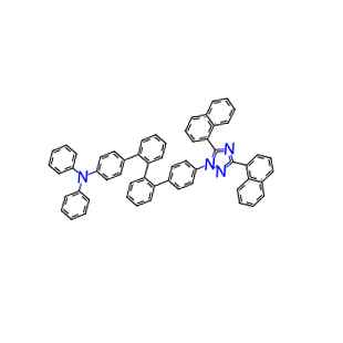 c1ccc(N(c2ccccc2)c2ccc(-c3ccccc3-c3ccccc3-c3ccc(-n4nc(-c5cccc6ccccc56)nc4-c4cccc5ccccc45)cc3)cc2)cc1